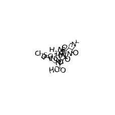 CC(C)N1CCC(C(CNC(=O)c2cc(C(=O)O)n(Cc3cc(-c4ccc(Cl)s4)on3)n2)S(N)(=O)=O)C(C(N)=O)C1